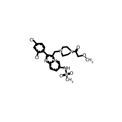 COCC(=O)N1CCN(Cc2c(-c3ccc(Cl)cc3Cl)nc3ccc(NS(C)(=O)=O)cn23)CC1